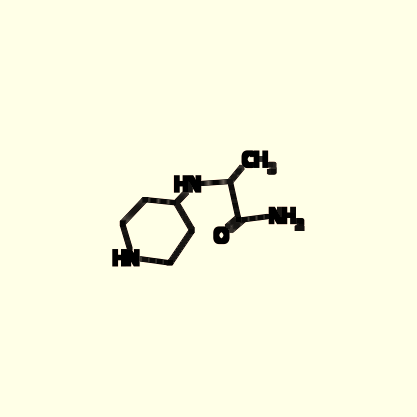 CC(NC1CCNCC1)C(N)=O